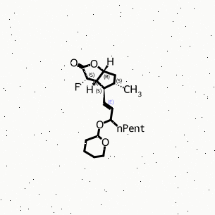 CCCCCC(/C=C/[C@H]1[C@@H]2[C@H](F)C(=O)O[C@@H]2C[C@@H]1C)OC1CCCCO1